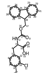 O=C(NC(Cc1ccc(F)c(Cl)c1)C(=O)O)OCC1c2ccccc2-c2ccccc21